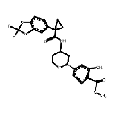 COC(=O)c1ccc([C@@H]2C[C@H](NC(=O)C3(c4ccc5c(c4)OC(F)(F)O5)CC3)CCO2)cc1C